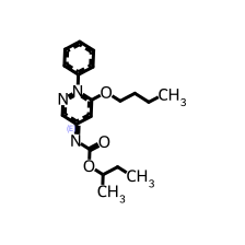 CCCCOc1c/c(=N\C(=O)OC(C)CC)cnn1-c1ccccc1